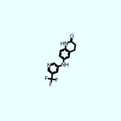 O=C1CCc2cc(Nc3cncc(C(F)(F)F)c3)ccc2N1